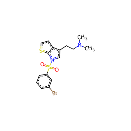 CN(C)CCc1cn(S(=O)(=O)c2cccc(Br)c2)c2sccc12